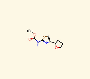 CC(C)(C)OC(=O)Nc1nc(C2CCCO2)cs1